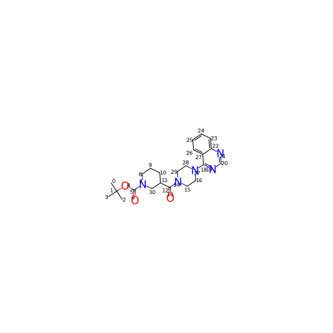 CC(C)(C)OC(=O)N1CCCC(C(=O)N2CCN(c3ncnc4ccccc34)CC2)C1